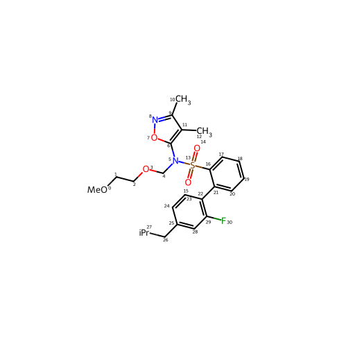 COCCOCN(c1onc(C)c1C)S(=O)(=O)c1ccccc1-c1ccc(CC(C)C)cc1F